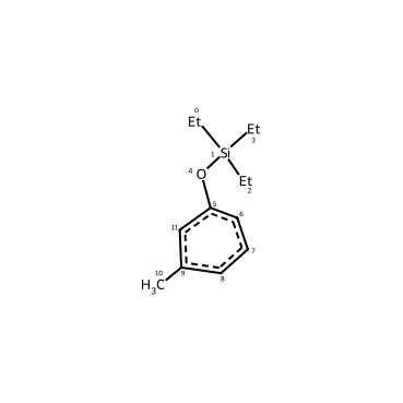 CC[Si](CC)(CC)Oc1cccc(C)c1